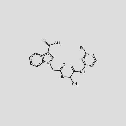 CC(NC(=O)Cn1nc(C(N)=O)c2ccccc21)C(=O)Nc1cccc(Br)n1